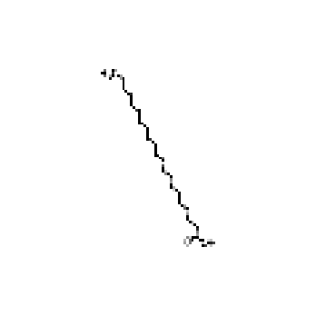 CCCCCCCCCCCCCCCC=CCCCC(=O)O